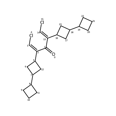 O=C(C(=CCl)C1CC(C2CCC2)C1)C(=CCl)C1CC(C2CCC2)C1